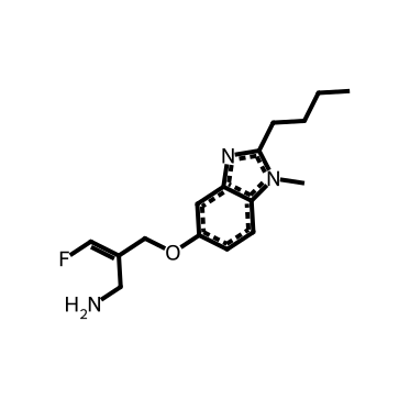 CCCCc1nc2cc(OC/C(=C/F)CN)ccc2n1C